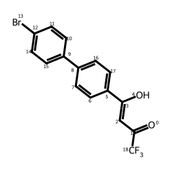 O=C(/C=C(\O)c1ccc(-c2ccc(Br)cc2)cc1)C(F)(F)F